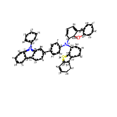 C1=CC(N(c2ccc(-c3ccc4c5ccccc5n(-c5ccccc5)c4c3)cc2)c2cccc3c4c(sc23)C=CCC4)C2Oc3ccccc3C2=C1